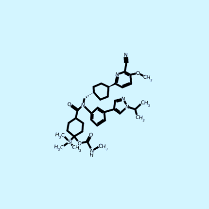 CNC(=O)OC1([Si](C)(C)C)CCC(C(=O)N(C[C@H]2CC[C@H](c3ccc(OC)c(C#N)n3)CC2)c2cccc(-c3cnn(C(C)C)c3)c2)CC1